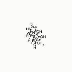 BC(B)(O)[C@@]1(F)O[C@@](B)(n2ccc(=S)[nH]c2=O)[C@H](O)[C@@H]1O